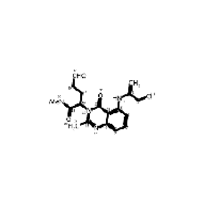 C=C(CCl)Nc1cccc2nc(C)n(C(CCC=O)C(=O)NC)c(=O)c12